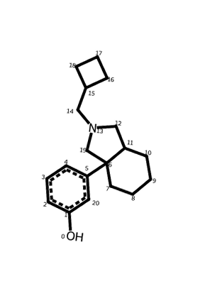 Oc1cccc(C23CCCCC2CN(CC2CCC2)C3)c1